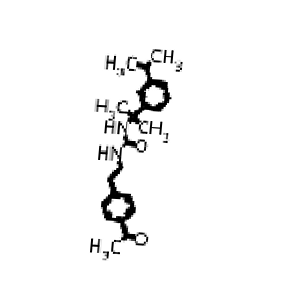 CC(=O)c1ccc(CCNC(=O)NC(C)(C)c2cccc(C(C)C)c2)cc1